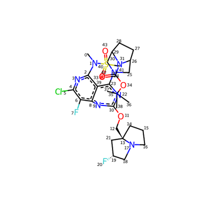 CN(c1nc(Cl)c(F)c2nc(OC[C@@]34CCCN3C[C@H](F)C4)nc(N3CC4CCC(C3)N4C(=O)OC(C)(C)C)c12)S(C)(=O)=O